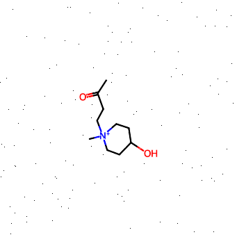 CC(=O)CC[N+]1(C)CCC(O)CC1